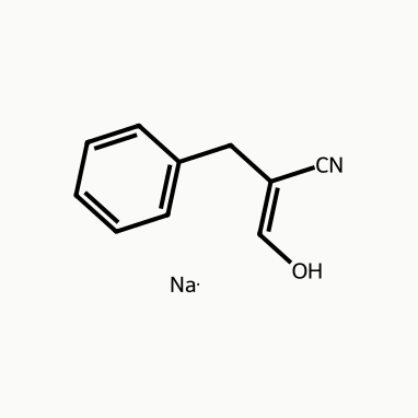 N#CC(=CO)Cc1ccccc1.[Na]